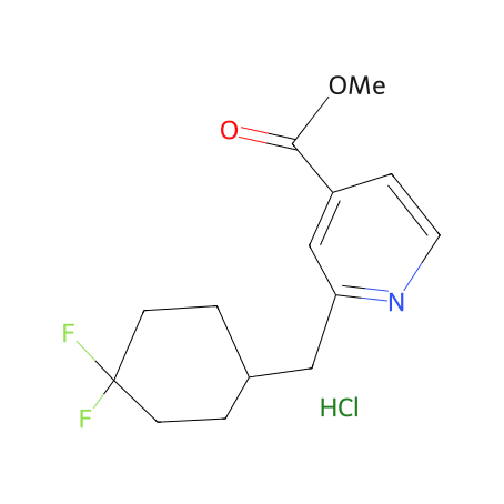 COC(=O)c1ccnc(CC2CCC(F)(F)CC2)c1.Cl